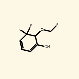 OC1=CC=CC(F)(F)C1OCF